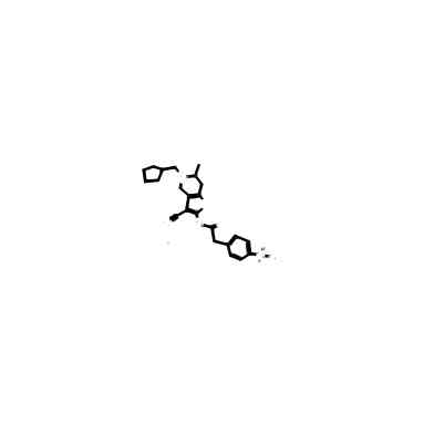 CC1Cc2sc(NC(=O)Cc3ccc(S(N)(=O)=O)cc3)c(C#N)c2CN1CC1CCCC1.Cl